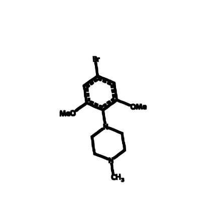 COc1cc(Br)cc(OC)c1N1CCN(C)CC1